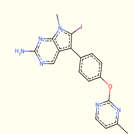 Cc1ccnc(Oc2ccc(-c3c(I)n(C)c4nc(N)ncc34)cc2)n1